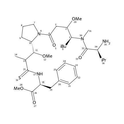 CCC(C)[C@@H](C(CC(=O)N1CCC[C@H]1C(OC)C(C)C(=S)N[C@@H](Cc1ccccc1)C(=O)OC)OC)N(C)C(=O)[C@@H](N)C(C)C